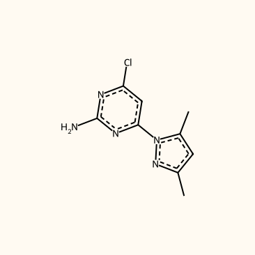 Cc1cc(C)n(-c2cc(Cl)nc(N)n2)n1